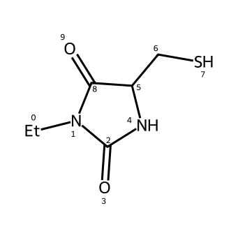 CCN1C(=O)NC(CS)C1=O